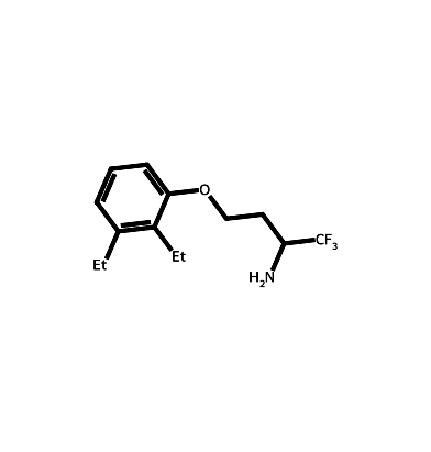 CCc1cccc(OCCC(N)C(F)(F)F)c1CC